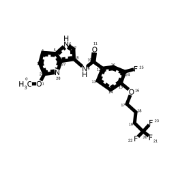 COc1ccc2[nH]cc(NC(=O)c3ccc(OCCCC(F)(F)F)c(F)c3)c2n1